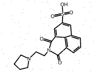 O=C1c2cccc3cc(S(=O)(=O)O)cc(c23)C(=O)N1CCN1CCCC1